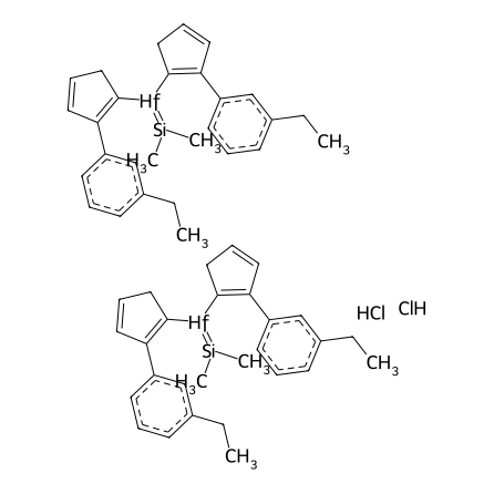 CCc1cccc(C2=[C]([Hf]([C]3=C(c4cccc(CC)c4)C=CC3)=[Si](C)C)CC=C2)c1.CCc1cccc(C2=[C]([Hf]([C]3=C(c4cccc(CC)c4)C=CC3)=[Si](C)C)CC=C2)c1.Cl.Cl